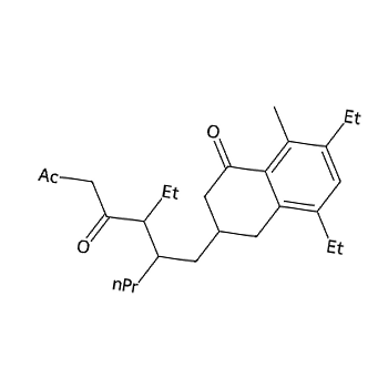 CCCC(CC1CC(=O)c2c(C)c(CC)cc(CC)c2C1)C(CC)C(=O)CC(C)=O